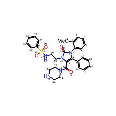 COc1ccccc1-n1c(-c2ccccc2)c(C(=O)N2CCNCC2)n(CCNS(=O)(=O)c2ccccc2)c1=O